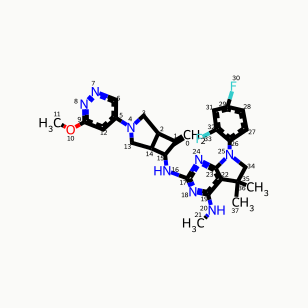 C=C1C2CN(c3cnnc(OC)c3)CC2C1Nc1nc(NC)c2c(n1)N(c1ccc(F)cc1F)CC2(C)C